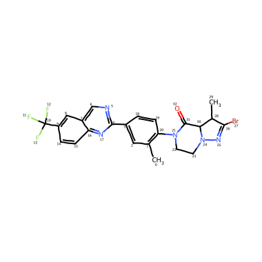 Cc1cc(-c2ncc3cc(C(F)(F)F)ccc3n2)ccc1N1CCN2N=C(Br)C(C)C2C1=O